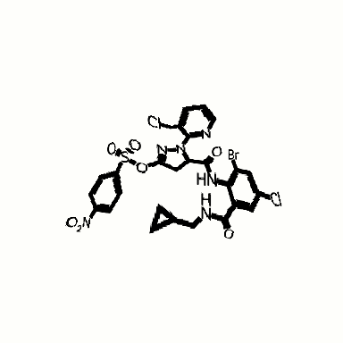 O=C(NCC1CC1)c1cc(Cl)cc(Br)c1NC(=O)C1CC(OS(=O)(=O)c2ccc([N+](=O)[O-])cc2)=NN1c1ncccc1Cl